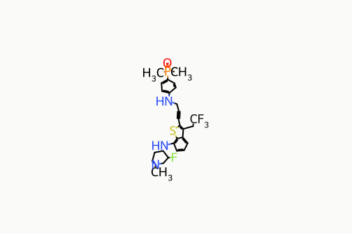 CN1CCC(Nc2cccc3c(CC(F)(F)F)c(C#CCNc4ccc(P(C)(C)=O)cc4)sc23)C(F)C1